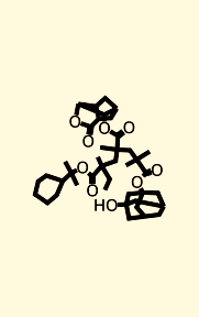 CCC(C)(CC(C)(CC(C)(C)C(=O)OC12CC3CC(CC(O)(C3)C1)C2)C(=O)OC1C2CC3C(=O)OC1C3C2)C(=O)OC(C)(C)C1CCCCC1